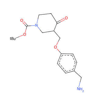 CC(C)(C)OC(=O)N1CCC(=O)C(COc2ccc(CN)cc2)C1